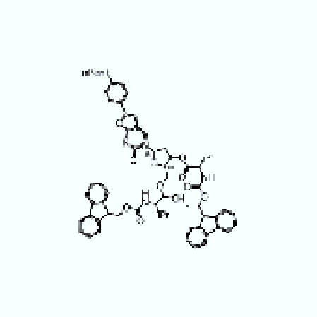 CCCCCc1ccc(-c2cc3cn([C@H]4CC(OC(=O)C(NC(=O)OCC5c6ccccc6-c6ccccc65)C(C)C)[C@@H](COC(C)C(NC(=O)OCC5c6ccccc6-c6ccccc65)C(C)C)O4)c(=O)nc3o2)cc1